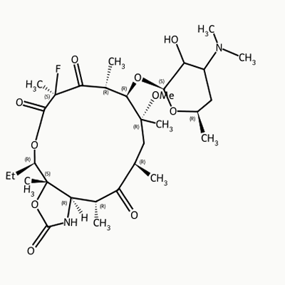 CC[C@H]1OC(=O)[C@@](C)(F)C(=O)[C@H](C)[C@@H](O[C@@H]2O[C@H](C)CC(N(C)C)C2O)[C@](C)(OC)C[C@@H](C)C(=O)[C@H](C)[C@H]2NC(=O)O[C@@]21C